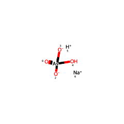 O=[As]([O-])([O-])O.[H+].[Na+]